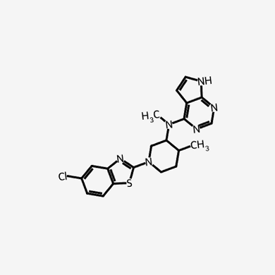 CC1CCN(c2nc3cc(Cl)ccc3s2)CC1N(C)c1ncnc2[nH]ccc12